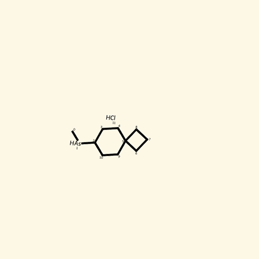 C[AsH]C1CCC2(CCC2)CC1.Cl